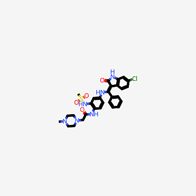 CN1CCN(CC(=O)Nc2ccc(N/C(=C3\C(=O)Nc4cc(Cl)ccc43)c3ccccc3)cc2NS(C)(=O)=O)CC1